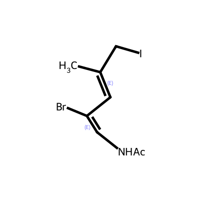 CC(=O)N/C=C(Br)\C=C(/C)CI